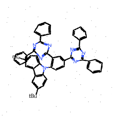 CC(C)(C)c1ccc2c(c1)c1cc(C(C)(C)C)ccc1n2-c1ccc(-c2nc(-c3ccccc3)nc(-c3ccccc3)n2)cc1-c1nc(-c2ccccc2)nc(-c2ccccc2)n1